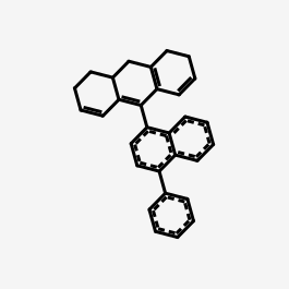 C1=CC2=C(CC1)CC1CCC=CC1=C2c1ccc(-c2ccccc2)c2ccccc12